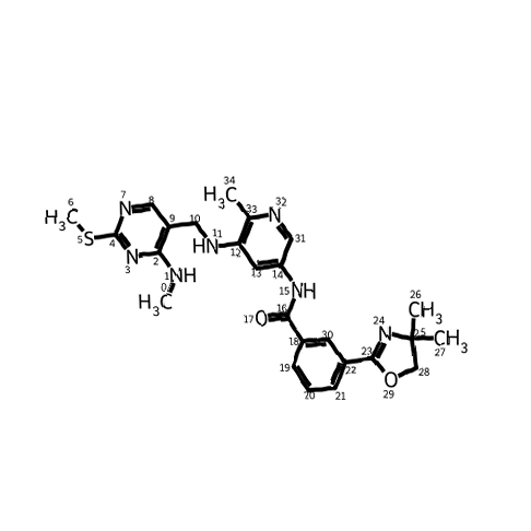 CNc1nc(SC)ncc1CNc1cc(NC(=O)c2cccc(C3=NC(C)(C)CO3)c2)cnc1C